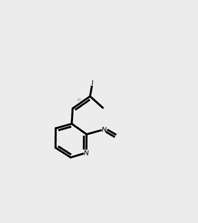 C=Nc1ncccc1/C=C(\C)I